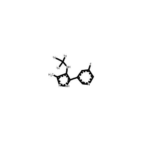 [2H]C([2H])([2H])Nc1c(C)n[nH]c1-c1cncc(F)c1